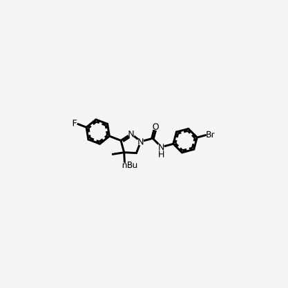 CCCCC1(C)CN(C(=O)Nc2ccc(Br)cc2)N=C1c1ccc(F)cc1